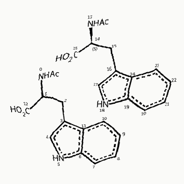 CC(=O)NC(Cc1c[nH]c2ccccc12)C(=O)O.CC(=O)N[C@@H](Cc1c[nH]c2ccccc12)C(=O)O